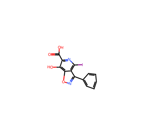 O=C(O)c1nc(I)c2c(-c3ccccc3)noc2c1O